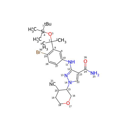 CC(C)(O[Si](C)(C)C(C)(C)C)c1cc(Nc2nn(C3COCCC3C#N)cc2C(N)=O)ccc1Br